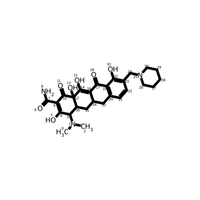 CN(C)C1C(O)=C(C(N)=O)C(=O)C2(O)C(O)=C3C(=O)c4c(ccc(CN5CCCCC5)c4O)CC3CC12